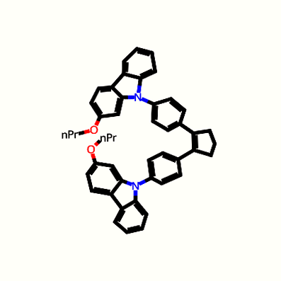 CCCOc1ccc2c3ccccc3n(-c3ccc(C4=C(c5ccc(-n6c7ccccc7c7ccc(OCCC)cc76)cc5)CCC4)cc3)c2c1